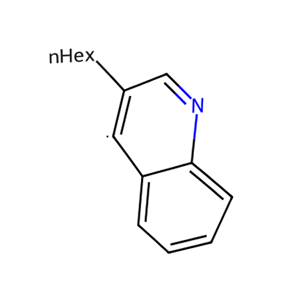 CCCCCCc1[c]c2ccccc2nc1